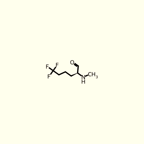 CN[C@H](C=O)CCCC(F)(F)F